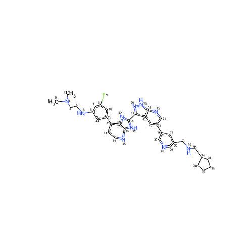 CN(C)CCNc1cc(F)cc(-c2ccnc3[nH]c(-c4n[nH]c5ncc(-c6cncc(CNCC7CCCC7)c6)cc45)nc23)c1